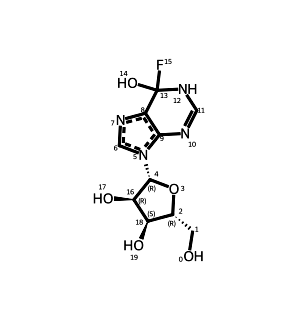 OC[C@H]1O[C@@H](n2cnc3c2N=CNC3(O)F)[C@H](O)[C@@H]1O